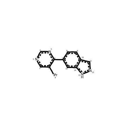 CC(C)c1cncnc1-c1ccc2cn[nH]c2c1